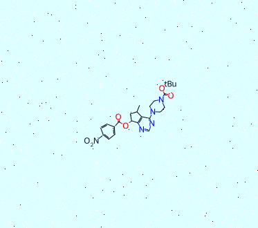 CC1CC(OC(=O)c2ccc([N+](=O)[O-])cc2)c2ncnc(N3CCN(C(=O)OC(C)(C)C)CC3)c21